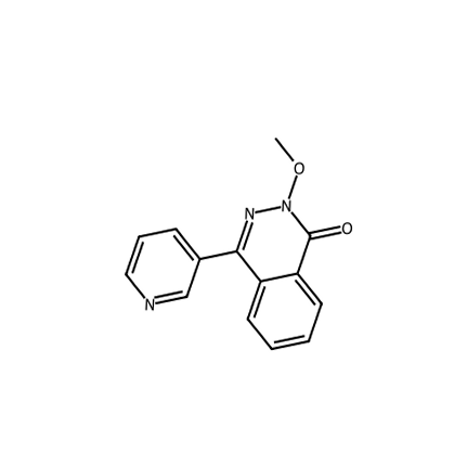 COn1nc(-c2cccnc2)c2ccccc2c1=O